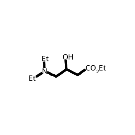 CCOC(=O)CC(O)CN(CC)CC